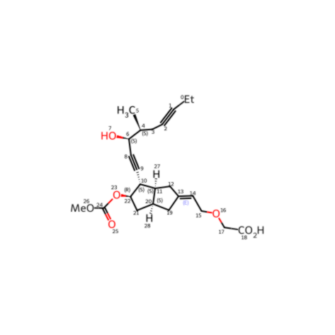 CCC#CC[C@H](C)[C@H](O)C#C[C@@H]1[C@H]2C/C(=C/COCC(=O)O)C[C@H]2C[C@H]1OC(=O)OC